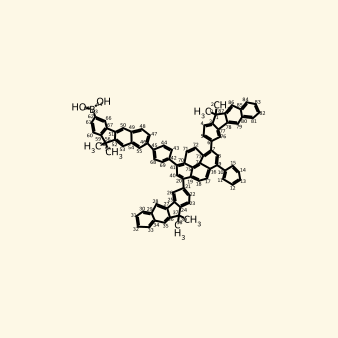 CC1(C)c2ccc(-c3cc(-c4ccccc4)c4ccc5c(-c6ccc7c(c6)-c6cc8ccccc8cc6C7(C)C)cc(-c6ccc(-c7ccc8cc9c(cc8c7)C(C)(C)c7ccc(B(O)O)cc7-9)cc6)c6ccc3c4c65)cc2-c2cc3ccccc3cc21